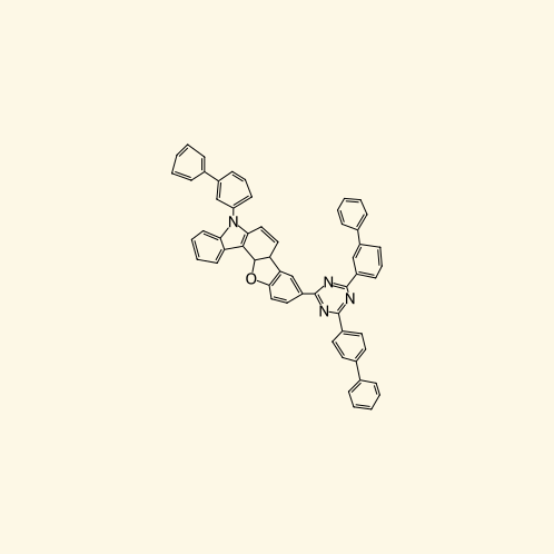 C1=CC2c3cc(-c4nc(-c5ccc(-c6ccccc6)cc5)nc(-c5cccc(-c6ccccc6)c5)n4)ccc3OC2c2c1n(-c1cccc(-c3ccccc3)c1)c1ccccc21